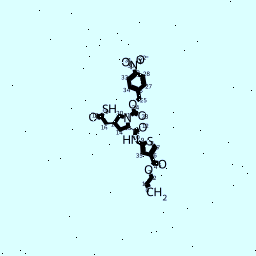 C=CCOC(=O)c1csc(NC(=O)[C@@H]2C[C@@H](CC(=O)S)CN2C(=O)OCc2ccc([N+](=O)[O-])cc2)c1